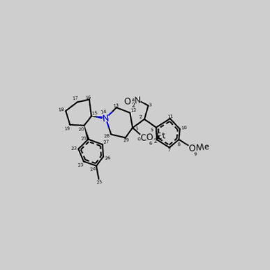 CCOC(=O)C1(C(C[N+](=O)[O-])c2ccc(OC)cc2)CCN([C@@H]2CCCC[C@@H]2c2ccc(C)cc2)CC1